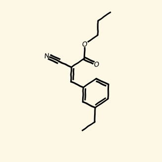 CCCOC(=O)C(C#N)=Cc1cccc(CC)c1